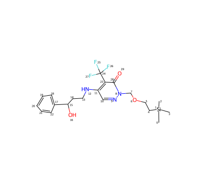 C[Si](C)(C)CCOCn1ncc(NCCC(O)c2ccccc2)c(C(F)(F)F)c1=O